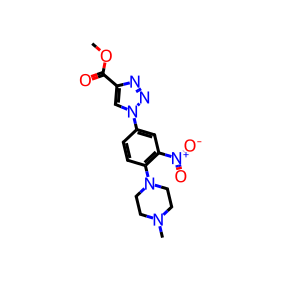 COC(=O)c1cn(-c2ccc(N3CCN(C)CC3)c([N+](=O)[O-])c2)nn1